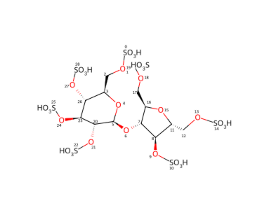 O=S(=O)(O)OC[C@H]1O[C@@H](O[C@H]2[C@H](OS(=O)(=O)O)[C@@H](COS(=O)(=O)O)O[C@@H]2COS(=O)(=O)O)[C@H](OS(=O)(=O)O)[C@@H](OS(=O)(=O)O)[C@@H]1OS(=O)(=O)O